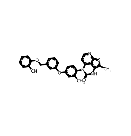 Cc1cc(Oc2cccc(COc3ccccc3C#N)c2)ccc1N1C(=O)Nc2c(C)sc3nccc1c23